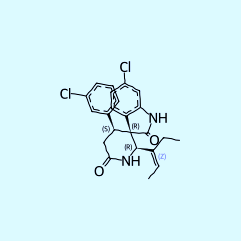 C/C=C(/CC)[C@H]1NC(=O)C[C@@H](c2cccc(Cl)c2)[C@]12C(=O)Nc1cc(Cl)ccc12